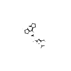 CC(C)n1nc([S@@](N)(=O)=NC(=O)Nc2c3c(nc4c2CC[C@H]4C)CCC3)cc1CO